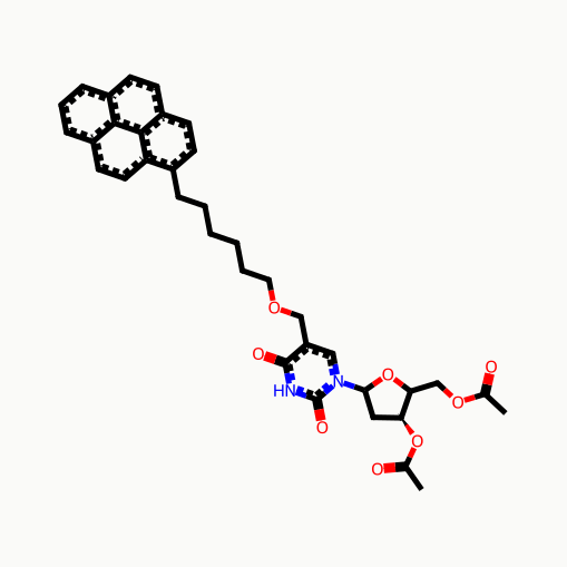 CC(=O)OCC1OC(n2cc(COCCCCCCc3ccc4ccc5cccc6ccc3c4c56)c(=O)[nH]c2=O)C[C@@H]1OC(C)=O